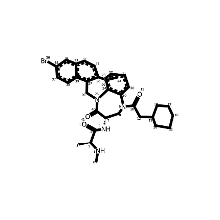 CN[C@@H](C)C(=O)N[C@H]1CN(C(=O)CC2CCCCC2)c2ccccc2N(Cc2c(OC)ccc3cc(Br)ccc23)C1=O